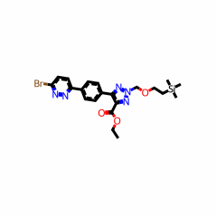 CCOC(=O)c1nn(COCC[Si](C)(C)C)nc1-c1ccc(-c2ccc(Br)nn2)cc1